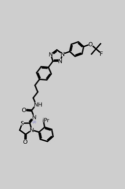 CC(C)c1ccccc1N1C(=O)CS/C1=N\C(=O)NCCCc1ccc(-c2ncn(-c3ccc(OC(C)(C)F)cc3)n2)cc1